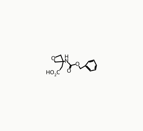 O=C(O)CC1(NC(=O)OCc2ccccc2)COC1